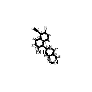 C#Cc1c(F)ccc2c(-c3cc4ncncc4cn3)c(O)ccc12